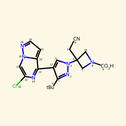 CC(C)(C)c1nn(C2(CC#N)CN(C(=O)O)C2)cc1-c1nc(Cl)cn2nccc12